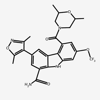 Cc1noc(C)c1-c1cc(C(N)=O)c2[nH]c3cc(OC(F)(F)F)cc(C(=O)N4CC(C)OC(C)C4)c3c2c1